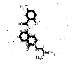 Cc1ccc(Cl)c(C(=O)Nc2cccc3c(=O)n(CCN(C)C)ccc23)c1